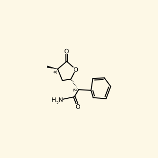 C[C@@H]1CC([C@@H](C(N)=O)c2ccccc2)OC1=O